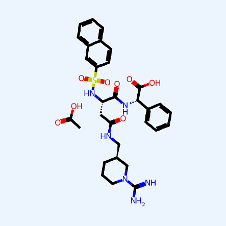 CC(=O)O.N=C(N)N1CCC[C@@H](CNC(=O)C[C@H](NS(=O)(=O)c2ccc3ccccc3c2)C(=O)N[C@H](C(=O)O)c2ccccc2)C1